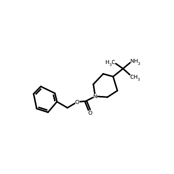 CC(C)(N)C1CCN(C(=O)OCc2ccccc2)CC1